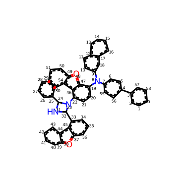 c1ccc(-c2ccc(N(c3ccc4ccccc4c3)c3ccc(N4C(c5ccccc5)NC4c4cccc5oc6ccccc6c45)c4c3oc3ccccc34)cc2)cc1